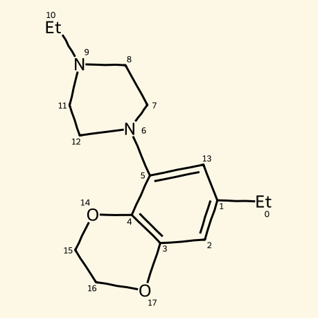 CCc1cc2c(c(N3CCN(CC)CC3)c1)OCCO2